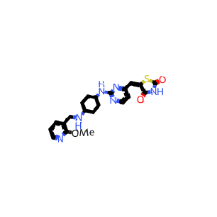 COc1ncccc1CNC1CCC(Nc2nccc(/C=C3/SC(=O)NC3=O)n2)CC1